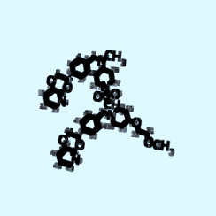 CN(Cc1ccc([C@H]2COc3cccnc3O2)cc1)C1CCN(S(C)(=O)=O)CC1.COCCOC1CCN(Cc2ccc([C@H]3COc4cccnc4O3)cc2)CC1